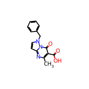 Cc1nc2ccn(Cc3ccccc3)n2c(=O)c1C(=O)O